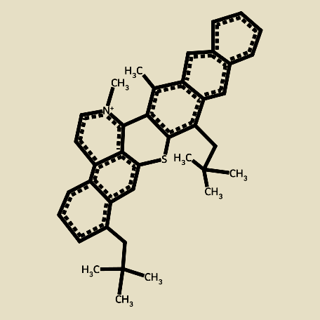 Cc1c2c(c(CC(C)(C)C)c3cc4ccccc4cc13)Sc1cc3c(CC(C)(C)C)cccc3c3cc[n+](C)c-2c13